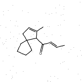 CC=CC(=O)C1C(C)=CCC12CCCC2